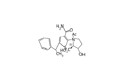 CC(=O)[N+]1(c2sc(C(C)c3ccccc3)cc2C(N)=O)CCC(O)[C@H]1C(=O)O